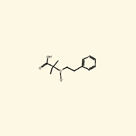 CC(C)(C(=O)O)[S+]([O-])CCc1ccccc1